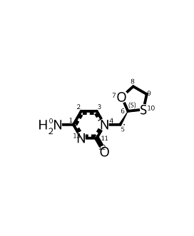 Nc1ccn([CH][C@H]2OCCS2)c(=O)n1